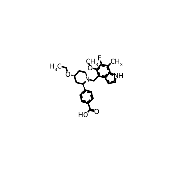 CCO[C@@H]1CCN(Cc2c(OC)c(F)c(C)c3[nH]ccc23)[C@@H](c2ccc(C(=O)O)cc2)C1